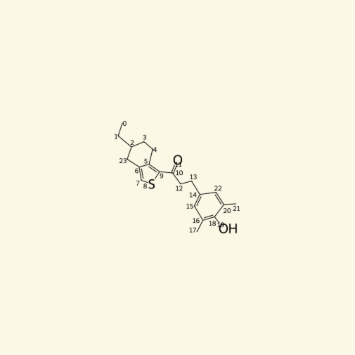 CCC1CCc2c(csc2C(=O)CCc2cc(C)c(O)c(C)c2)C1